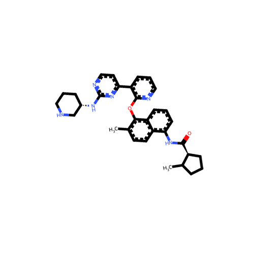 Cc1ccc2c(NC(=O)[C@H]3CCCC3C)cccc2c1Oc1ncccc1-c1ccnc(N[C@H]2CCCNC2)n1